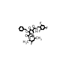 CC1C(F)=CC(C)N2CN1C(=O)c1c(OCc3ccccc3)c(=O)c(C(=O)NCc3c(F)cc(F)cc3F)cn12